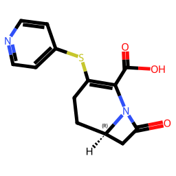 O=C(O)C1=C(Sc2ccncc2)CC[C@@H]2CC(=O)N12